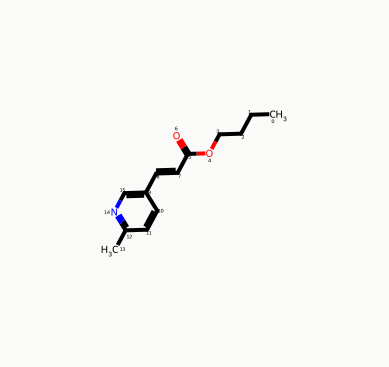 CCCCOC(=O)C=Cc1ccc(C)nc1